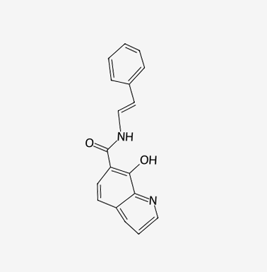 O=C(NC=Cc1ccccc1)c1ccc2cccnc2c1O